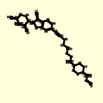 O=CN[C@H]1CC[C@@H](NCCOCCC#Cc2ccc3c(c2)CN(C2CCC(=O)NC2=O)C3=O)CC1